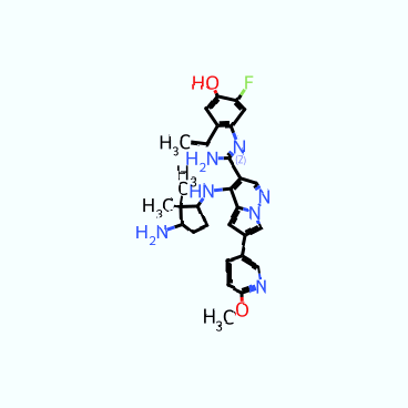 CCc1cc(O)c(F)cc1/N=C(\N)c1cnn2cc(-c3ccc(OC)nc3)cc2c1NC1CCC(N)C1(C)C